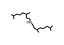 CC(C)CCCC(C)CCNCCC(C)CCCC(C)C